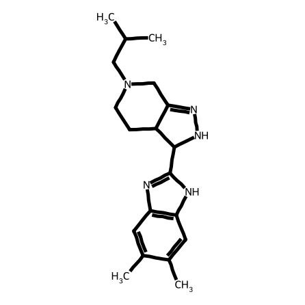 Cc1cc2nc(C3NN=C4CN(CC(C)C)CCC43)[nH]c2cc1C